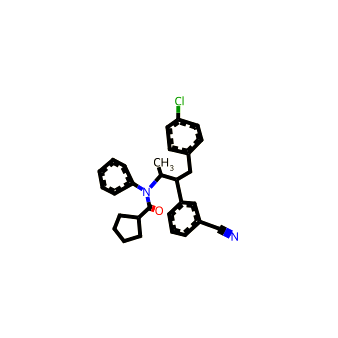 CC(C(Cc1ccc(Cl)cc1)c1cccc(C#N)c1)N(C(=O)C1CCCC1)c1ccccc1